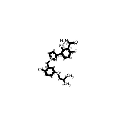 CC(C)COc1ccc(Cl)c(Cn2ccc(-c3ccc(F)c(C(N)=O)c3F)n2)c1